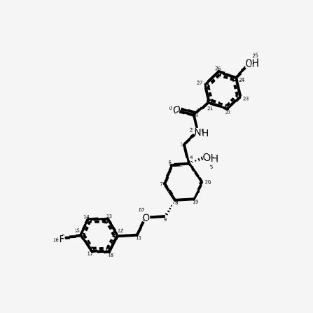 O=C(NC[C@]1(O)CC[C@@H](COCc2ccc(F)cc2)CC1)c1ccc(O)cc1